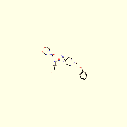 CCC(C)(C)C(NC(=O)N1CCOCC1)C(=O)NC1(C#N)CCN(C(=O)OCc2ccccc2)CC1